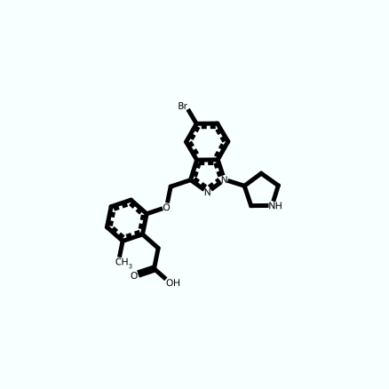 Cc1cccc(OCc2nn(C3CCNC3)c3ccc(Br)cc23)c1CC(=O)O